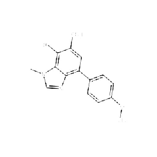 Cn1cnc2c(-c3ccc(OC(F)(F)F)cc3)cc(C(=O)O)c(Br)c21